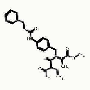 CCC(C(=O)O)C(=O)N(Cc1ccc(NC(=O)OCc2ccccc2)cc1)C(C)C(=O)OC